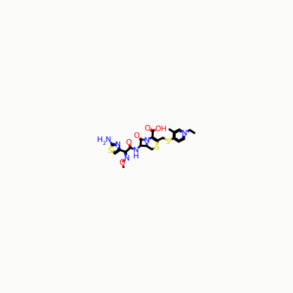 CC[n+]1ccc(SCC2=C(C(=O)O)N3C(=O)C(NC(=O)C(=NOC)c4csc(N)n4)C3CS2)c(C)c1